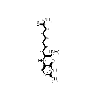 C=C1NC=C(NC(=CNC)CCCCCCC(N)=O)C(=O)N1